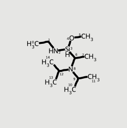 CCN[SiH](OC)C(C)N(C(C)C)C(C)C